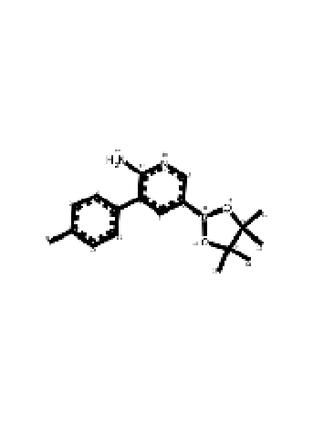 Cc1ccc(-c2cc(B3OC(C)(C)C(C)(C)O3)cnc2N)cc1